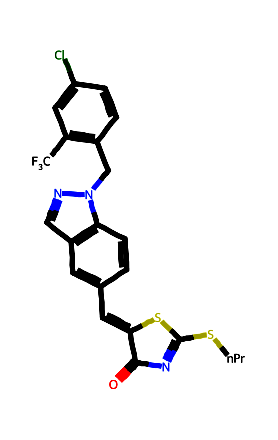 CCCSC1=NC(=O)/C(=C/c2ccc3c(cnn3Cc3ccc(Cl)cc3C(F)(F)F)c2)S1